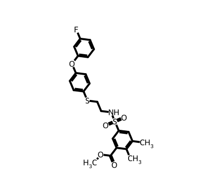 COC(=O)c1cc(S(=O)(=O)NCCSc2ccc(Oc3cccc(F)c3)cc2)cc(C)c1C